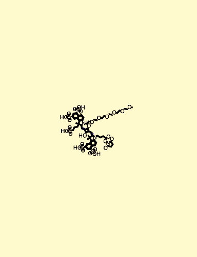 COCCOCCOCCOCCOCCOCC[N+]1=C(/C=C2\C(=O)C(/C=C3/N(CCCC(=O)ON4C(=O)CCC4=O)c4ccc5c(S(=O)(=O)O)cc(S(=O)(=O)O)cc5c4C3(C)C)=C2O)C(C)(CCCS(=O)(=O)O)c2c1ccc1c(S(=O)(=O)O)cc(S(=O)(=O)O)cc21